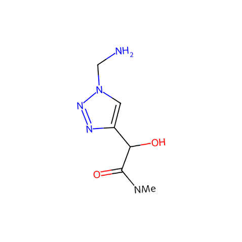 CNC(=O)C(O)c1cn(CN)nn1